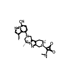 C[C@@H]1CN(c2ccc(C#N)n3ncc(F)c23)Cc2c3c(nn21)CN(c1c(N(C)C)c(=O)c1=O)[C@@H](C)C3